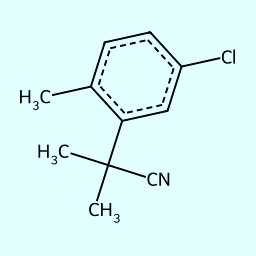 Cc1ccc(Cl)cc1C(C)(C)C#N